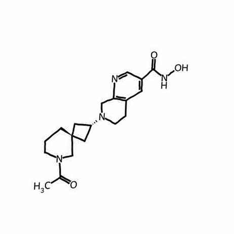 CC(=O)N1CCC[C@]2(C1)C[C@@H](N1CCc3cc(C(=O)NO)cnc3C1)C2